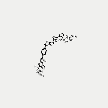 COC(=O)N[C@H](C(=O)N1CCCC1c1ncc(-c2ccc(-c3csc4c(-c5cnc(C6CCCN6C(=O)[C@@H](NC(O)OCC(C)C)C(C)C)[nH]5)csc34)cc2)[nH]1)C(C)C